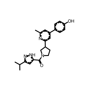 Cc1cc(-c2ccc(O)cc2)cc(C2CCN(C(=O)c3cc(C(C)C)n[nH]3)C2)n1